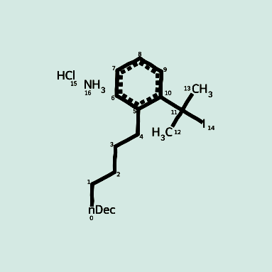 CCCCCCCCCCCCCCc1ccccc1C(C)(C)I.Cl.N